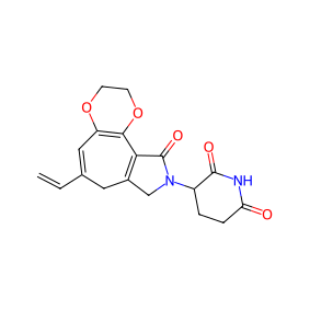 C=CC1=CC2=C(OCCO2)C2=C(C1)CN(C1CCC(=O)NC1=O)C2=O